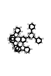 c1ccc(-c2nc(-c3ccccc3)nc(-c3cc(-n4c5ccccc5c5ncccc54)c(-n4c5ccccc5c5ncccc54)c(-n4c5ccccc5c5ncccc54)c3)n2)cc1